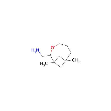 CC12CCCOC(CN)C(C)(C1)C2